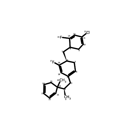 C[C@H](CC1=CC[C@H](CC2CC=C(Cl)C=C2F)C(F)=C1)C1(C)C=CC=CC1